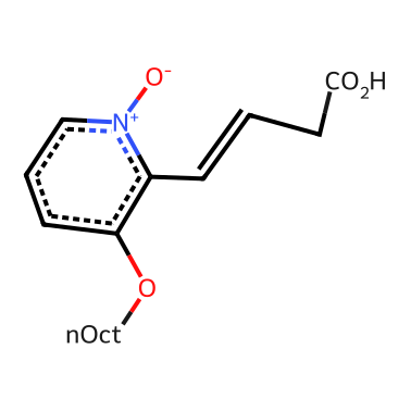 CCCCCCCCOc1ccc[n+]([O-])c1C=CCC(=O)O